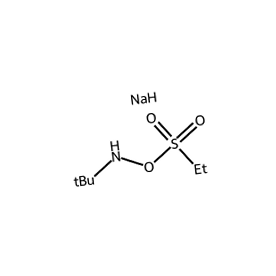 CCS(=O)(=O)ONC(C)(C)C.[NaH]